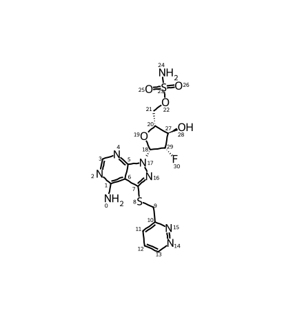 Nc1ncnc2c1c(SCc1cccnn1)nn2[C@@H]1O[C@H](COS(N)(=O)=O)[C@@H](O)[C@@H]1F